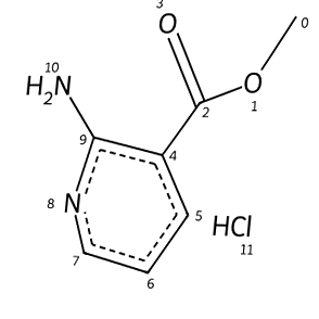 COC(=O)c1cccnc1N.Cl